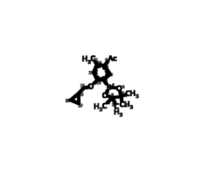 CC(=O)c1cc(B2OC(C)(C)C(C)(C)O2)c(OCC2CC2)cc1C